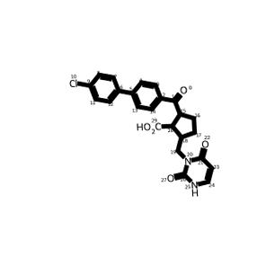 O=C(c1ccc(-c2ccc(Cl)cc2)cc1)C1CCC(Cn2c(=O)cc[nH]c2=O)C1C(=O)O